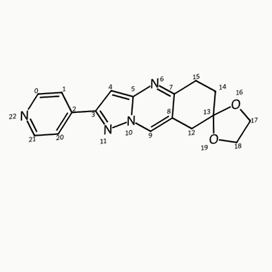 c1cc(-c2cc3nc4c(cn3n2)CC2(CC4)OCCO2)ccn1